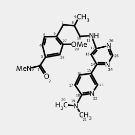 CNC(=O)c1ccc(CC(C)CNc2cc(-c3ccc(N(C)C)nc3)ncn2)c(OC)c1